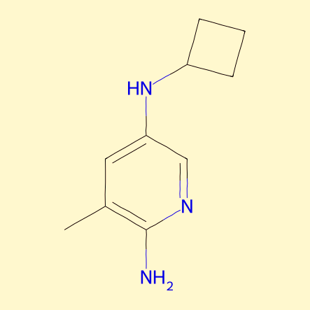 Cc1cc(NC2CCC2)cnc1N